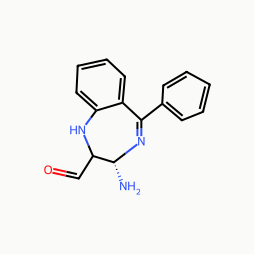 N[C@H]1N=C(c2ccccc2)c2ccccc2NC1C=O